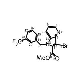 COC(=O)c1c(Br)c2ncccc2n1Cc1cccc(C(F)(F)F)c1